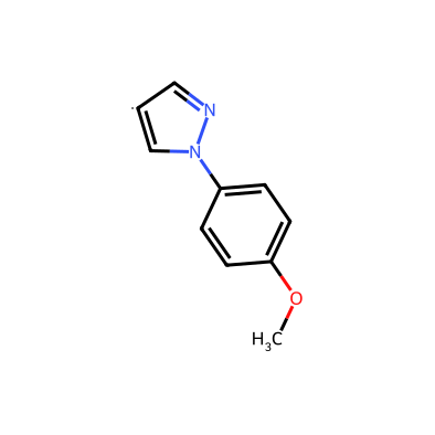 COc1ccc(-n2c[c]cn2)cc1